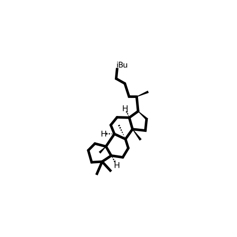 CCC(C)CCC[C@@H](C)[C@H]1CC[C@@]2(C)[C@H]1CC[C@@H]1[C@@]3(C)CCCC(C)(C)[C@@H]3CC[C@@]12C